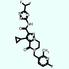 Cc1nc(F)ccc1CN1CCn2nc(C(=O)Nc3nnc(C(F)F)s3)c(C3CC3)c2C1=O